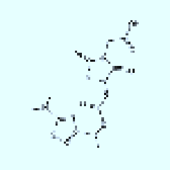 CC(OC(=O)C=C1SC(=S)N(CC(=O)O)C1=O)c1csc(N(C)C)n1